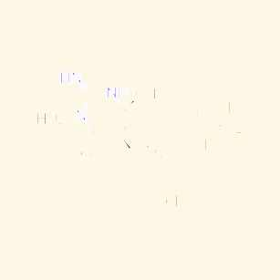 CN1C(=N)N[C@](C)(c2cccc(OC(F)(F)F)c2)[C@@H](c2ccc(Cl)cc2)C1=O